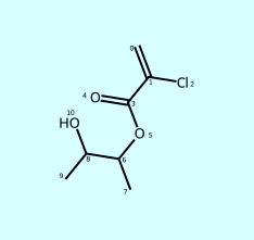 C=C(Cl)C(=O)OC(C)C(C)O